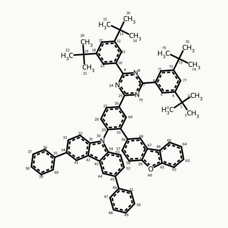 CC(C)(C)c1cc(-c2nc(-c3cc(C(C)(C)C)cc(C(C)(C)C)c3)nc(-c3ccc(-n4c5ccc(-c6ccccc6)cc5c5cc(-c6ccccc6)ccc54)c(-c4ccc5oc6ccccc6c5c4)c3)n2)cc(C(C)(C)C)c1